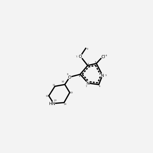 COc1c(Cl)ncnc1OC1CCNCC1